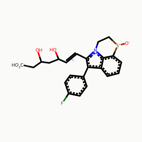 O=C(O)CC(O)CC(O)/C=C/c1c(-c2ccc(F)cc2)c2cccc3c2n1CC[S+]3[O-]